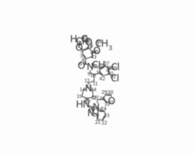 COc1cc(C(=O)N(C)CC(CCN2CCC(Nc3nc4ccccc4n3Cc3ccoc3)CC2)c2ccc(Cl)c(Cl)c2)cc(OC)c1OC